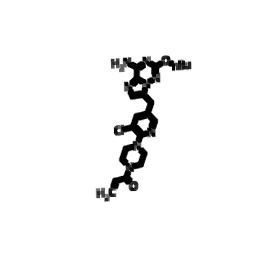 C=CC(=O)N1CCN(c2ncc(Cc3cnc4c(N)nc(OCCCC)nn34)cc2Cl)CC1